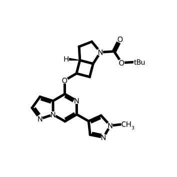 Cn1cc(-c2cn3nccc3c(OC3CC4[C@H]3CCN4C(=O)OC(C)(C)C)n2)cn1